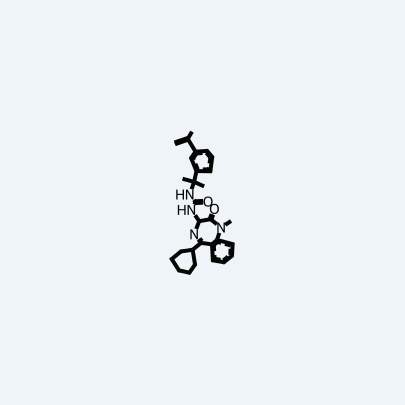 C=C(C)c1cccc(C(C)(C)NC(=O)NC2N=C(C3CCCCC3)c3ccccc3N(C)C2=O)c1